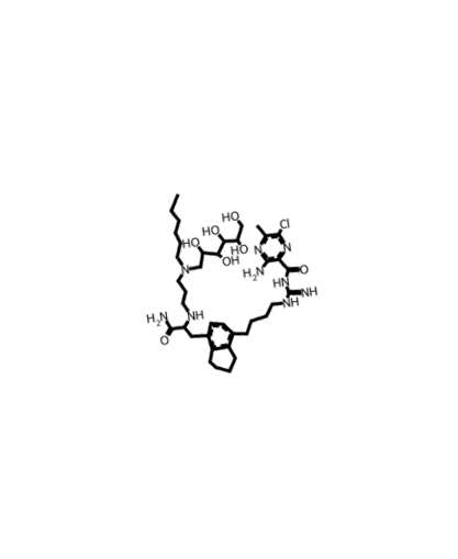 CCCCCCN(CCCNC(Cc1ccc(CCCCNC(=N)NC(=O)c2nc(Cl)c(C)nc2N)c2c1CCCC2)C(N)=O)CC(O)C(O)C(O)C(O)CO